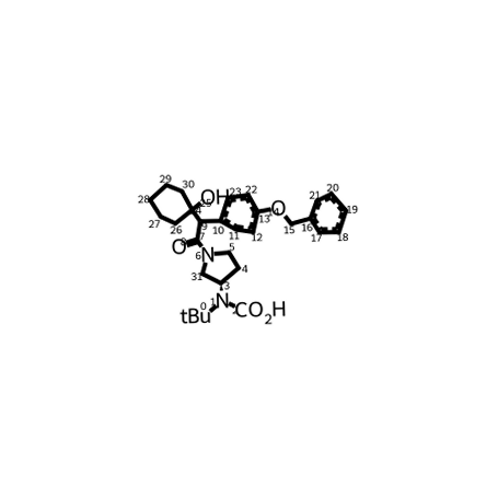 CC(C)(C)N(C(=O)O)[C@H]1CCN(C(=O)C(c2ccc(OCc3ccccc3)cc2)C2(O)CCCCC2)C1